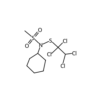 CS(=O)(=O)N(SC(Cl)(Cl)C(Cl)Cl)C1CCCCC1